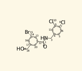 O=C(NCc1ccc(Cl)c(Cl)c1)c1cc(Br)cc(CO)c1